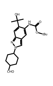 CC(C)(C)OC(=O)Nc1cc2cn(C3CCC(C=O)CC3)nc2cc1C(C)(C)O